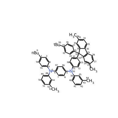 CCCCc1ccc(N(c2ccc(N(c3ccc(C4(c5ccc(C(C)(C)C)cc5)c5cc(C)ccc5-c5ccc(C)cc54)cc3)c3cccc(C)c3)cc2)c2cccc(C)c2)cc1